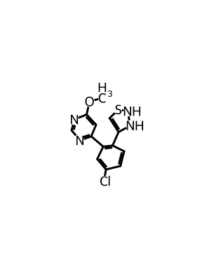 COc1cc(-c2cc(Cl)ccc2C2=CSNN2)ncn1